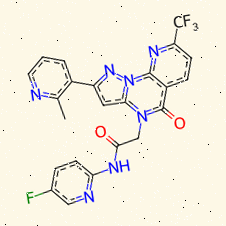 Cc1ncccc1-c1cc2n(CC(=O)Nc3ccc(F)cn3)c(=O)c3ccc(C(F)(F)F)nc3n2n1